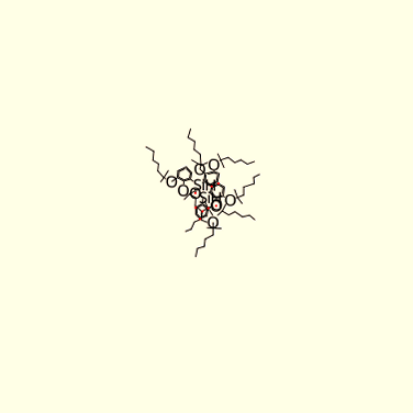 CCCCCC(C)(C)Oc1cccc([SiH](O[SiH](c2cccc(OC(C)(C)CCCCC)c2OC(C)(C)CCCCC)c2cccc(OC(C)(C)CCCCC)c2OC(C)(C)CCCCC)c2cccc(OC(C)(C)CCCCC)c2OC(C)(C)CCCCC)c1OC(C)(C)CCCCC